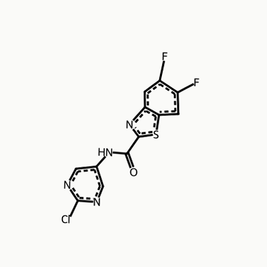 O=C(Nc1cnc(Cl)nc1)c1nc2cc(F)c(F)cc2s1